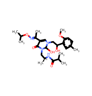 COc1ccc(C)cc1C(O)CN1C=C(/C(C)=N/OC(C)C)C(=O)N(C[C@H](C)NC(=O)C(C)C)C1O